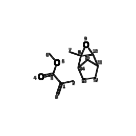 C=C(C)C(=O)OC.CC12OC1C1CCC2C1